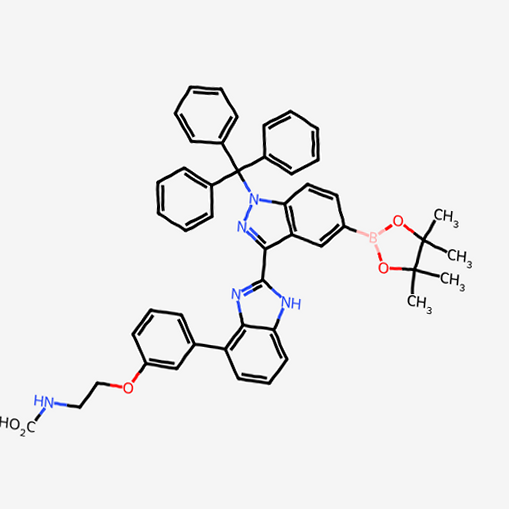 CC1(C)OB(c2ccc3c(c2)c(-c2nc4c(-c5cccc(OCCNC(=O)O)c5)cccc4[nH]2)nn3C(c2ccccc2)(c2ccccc2)c2ccccc2)OC1(C)C